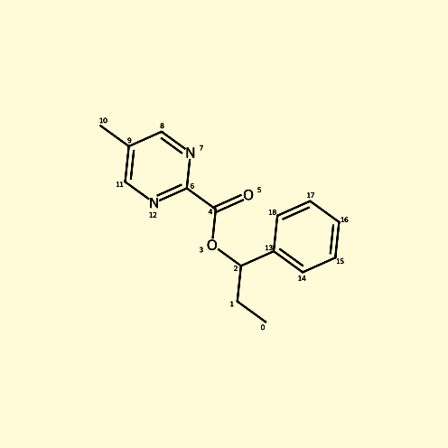 CCC(OC(=O)c1ncc(C)cn1)c1ccccc1